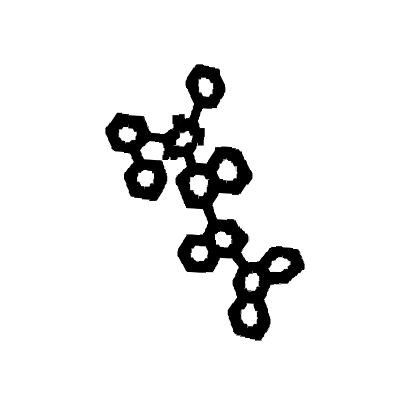 c1ccc(-c2nc(-c3ccccc3-c3ccccc3)nc(-c3ccc(-c4ccc(-c5cc6ccccc6c6ccccc56)c5ccccc45)c4ccccc34)n2)cc1